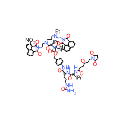 CCN(CCCN(CCN1C(=O)c2cccc3ccc([N+](=O)[O-])c(c23)C1=O)C(=O)[C@@H](C(C)C)N(C)C(=O)OCc1ccc(NC(=O)[C@H](CCCNC(N)=O)NC(=O)[C@@H](NC(=O)CCC(=O)CCN2C(=O)C=CC2=O)C(C)C)cc1)CCN1C(=O)c2cccc3ccc([N+](=O)[O-])c(c23)C1=O